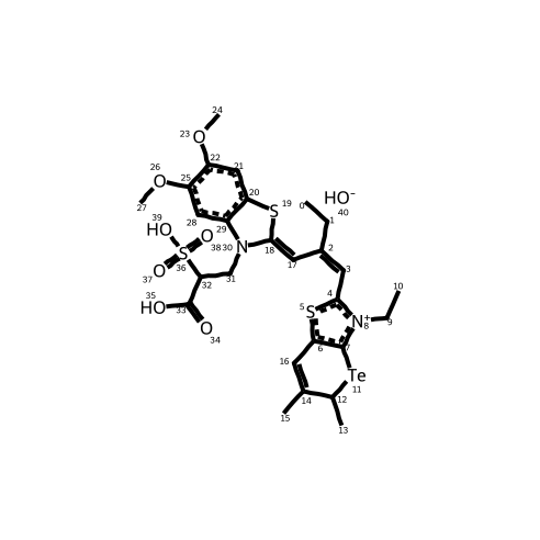 CCC(=Cc1sc2c([n+]1CC)[Te]C(C)C(C)=C2)C=C1Sc2cc(OC)c(OC)cc2N1CC(C(=O)O)S(=O)(=O)O.[OH-]